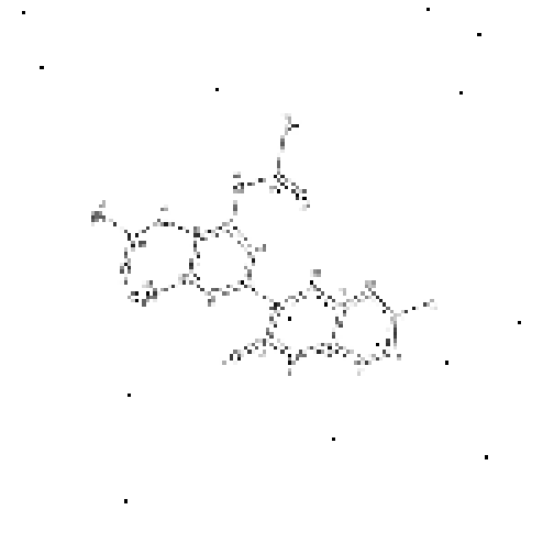 Cc1ccc2oc(=O)c(-c3cc(OC(=O)C(C)C)c(OC(=O)C(C)C)c([N+](=O)[O-])c3)nc2c1